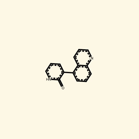 O=c1[nH]cccc1-c1cccc2ncccc12